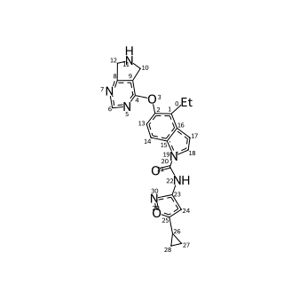 CCc1c(Oc2ncnc3c2CNC3)ccc2c1ccn2C(=O)Nc1cc(C2CC2)on1